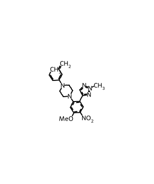 C=C/C=C(\C=C/C)N1CCN(c2cc(OC)c([N+](=O)[O-])cc2-c2cnn(C)n2)CC1